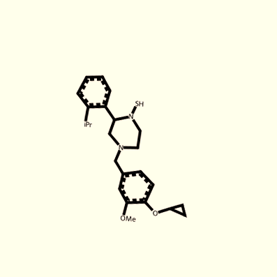 COc1cc(CN2CCN(S)C(c3ccccc3C(C)C)C2)ccc1OC1CC1